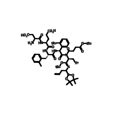 C=CCC(N=C(OC(C)(C)C)[C@H](CC(C)C)N(C(=O)CCC(=O)OC(C)(C)C)C(=O)[C@@H](NC(=O)[C@H](Cc1ccccc1C)NC(=O)[C@H](CCC(=O)O)NC(=O)[C@@H](N)CC(=O)O)c1ccccc1C(C)(C)C)B1OC(C)(C)C(C)(C)O1